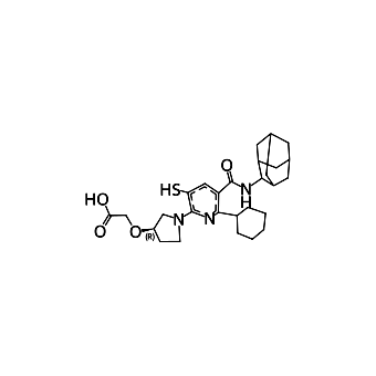 O=C(O)CO[C@@H]1CCN(c2nc(C3CCCCC3)c(C(=O)NC3C4CC5CC(C4)CC3C5)cc2S)C1